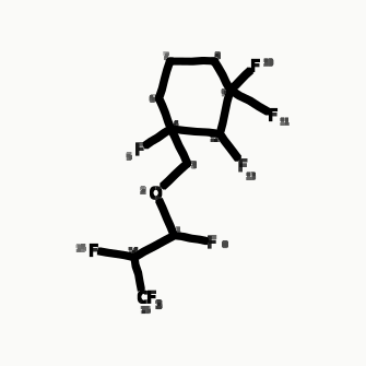 FC(OCC1(F)CCCC(F)(F)C1F)C(F)C(F)(F)F